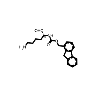 NCCCC[C@H]([C]=O)NC(=O)OCc1cccc2c1Cc1ccccc1-2